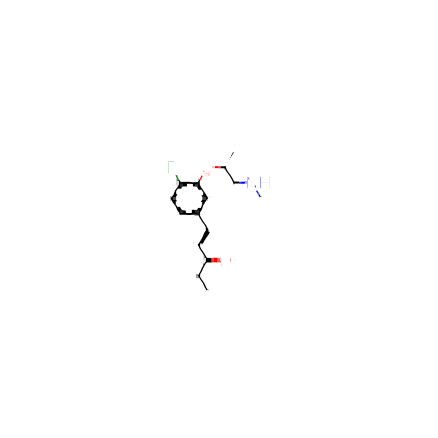 CCC(=O)/C=C/c1ccc(F)c(O[C@@H](C)CNC)c1